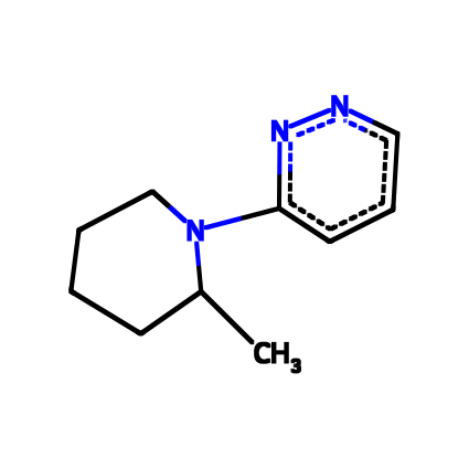 CC1CCCCN1c1cccnn1